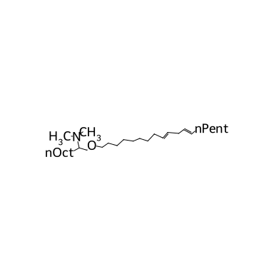 CCCCCC=CCC=CCCCCCCCCOCC(CCCCCCCC)N(C)C